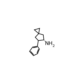 N[C@H]1CC2(CC2)CC1c1ccccc1